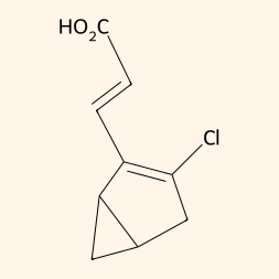 O=C(O)/C=C/C1=C(Cl)CC2CC12